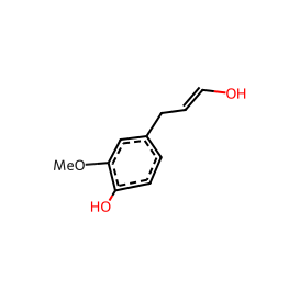 COc1cc(CC=CO)ccc1O